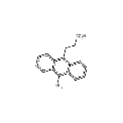 Nc1c2ccccc2c(CCC(=O)O)c2ccccc12